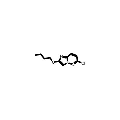 CCCCOc1cn2nc(Cl)ccc2n1